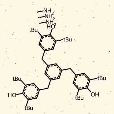 CC(C)(C)c1cc(Cc2cc(Cc3cc(C(C)(C)C)c(O)c(C(C)(C)C)c3)cc(Cc3cc(C(C)(C)C)c(O)c(C(C)(C)C)c3)c2)cc(C(C)(C)C)c1O.CN.CN.CN